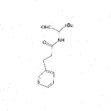 CCCCC([C]=O)NC(=O)CCc1ccccc1